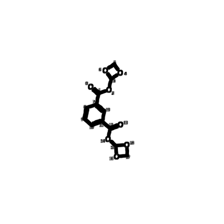 O=C(OC1OCO1)c1cccc(C(=O)OC2OCO2)c1